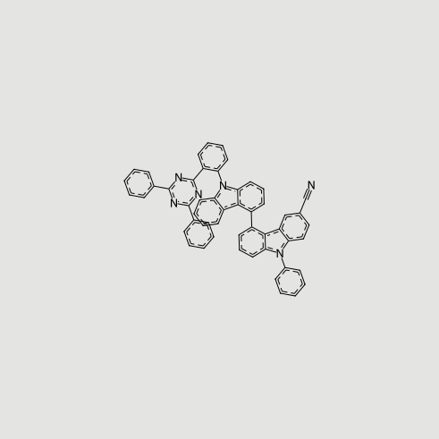 N#Cc1ccc2c(c1)c1c(-c3cccc4c3c3ccccc3n4-c3ccccc3-c3nc(-c4ccccc4)nc(-c4ccccc4)n3)cccc1n2-c1ccccc1